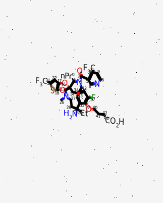 CCC[C@H]1N(C(=O)c2cnccc2C(F)(F)F)CCC[C@@]1(Oc1csc(C(F)(F)F)c1)C(=O)N(C)CCC(N)(CC)c1cccc(F)c1OCCCC(=O)O